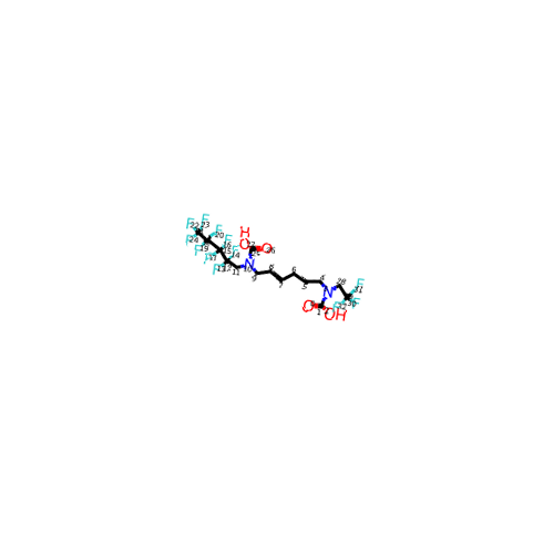 O=C(O)N(CCCCCCN(CC(F)(F)C(F)(F)C(F)(F)C(F)(F)F)C(=O)O)CC(F)(F)F